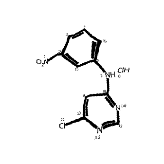 Cl.O=[N+]([O-])c1cccc(Nc2cc(Cl)ncn2)c1